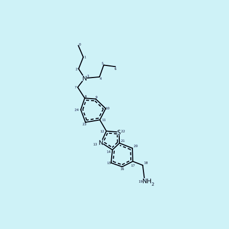 CCCN(CCC)Cc1ccc(-c2nc3ccc(CN)cc3s2)cc1